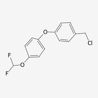 FC(F)Oc1ccc(Oc2ccc(CCl)cc2)cc1